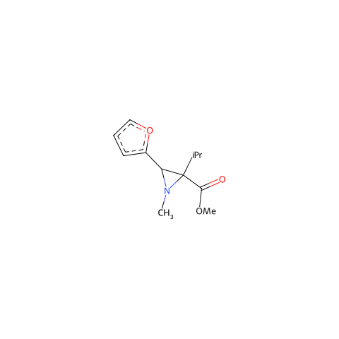 COC(=O)C1(C(C)C)C(c2ccco2)N1C